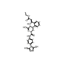 CCOC(=O)/C=C(\O)c1ccccc1N(CCC(=O)Nc1ccc(-n2c(S)nnc2S)cc1)CC(=O)O